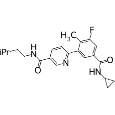 Cc1c(F)cc(C(=O)NC2CC2)cc1-c1ccc(C(=O)NCCC(C)C)cn1